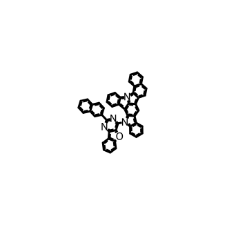 c1ccc2cc(-c3nc(-n4c5ccccc5c5cc6c7ccc8ccccc8c7n7c8ccccc8c(c54)c67)c4oc5ccccc5c4n3)ccc2c1